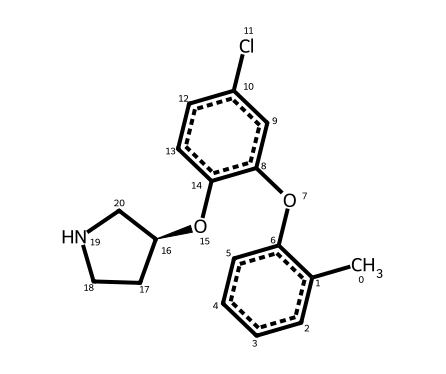 Cc1ccccc1Oc1cc(Cl)ccc1O[C@H]1CCNC1